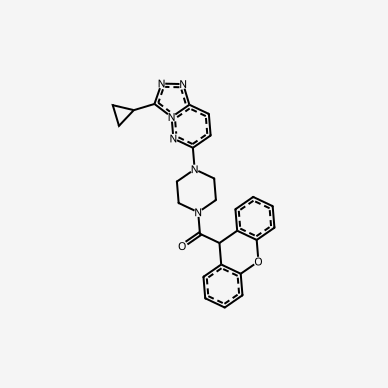 O=C(C1c2ccccc2Oc2ccccc21)N1CCN(c2ccc3nnc(C4CC4)n3n2)CC1